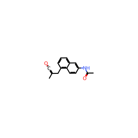 CC(=O)Nc1ccc2c(CC(C)=C=O)cccc2c1